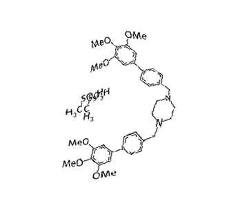 COc1cc(-c2ccc(CN3CCN(Cc4ccc(-c5cc(OC)c(OC)c(OC)c5)cc4)CC3)cc2)cc(OC)c1OC.CS(=O)(=O)O.CS(=O)(=O)O